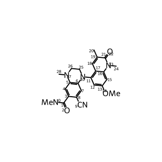 CNC(=O)c1cc2c(cc1C#N)N(c1cc(OC)cc3c1cc(C)c(=O)n3C)CCN2C